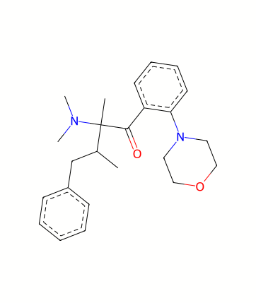 CC(Cc1ccccc1)C(C)(C(=O)c1ccccc1N1CCOCC1)N(C)C